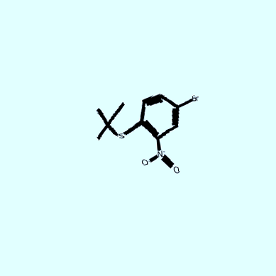 CC(C)(C)Sc1ccc(Br)cc1[N+](=O)[O-]